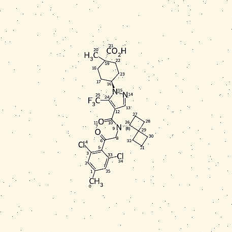 Cc1cc(Cl)c(C(=O)CN(C(=O)c2cnn([C@H]3CC[C@](C)(C(=O)O)CC3)c2C(F)(F)F)[C@@H]2CCC23CCC3)c(Cl)c1